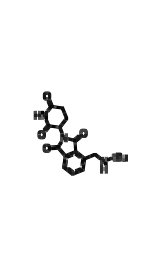 CC(C)(C)NCc1cccc2c1C(=O)N(C1CCC(=O)NC1=O)C2=O